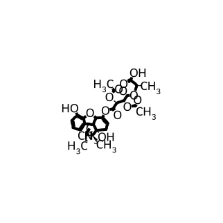 CC(=O)O[C@@H](C(=O)OC1=CC[C@@]2(O)[C@@H](C)N(C)CCC23c2c(C)ccc(O)c2OC13)[C@@H](OC(C)=O)C(=O)O[C@@H](C)C(=O)O